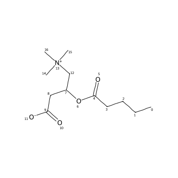 CCCCC(=O)OC(CC(=O)[O-])C[N+](C)(C)C